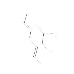 CC=COC=CC.CCC(O)CO